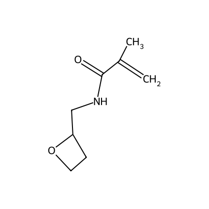 C=C(C)C(=O)NCC1CCO1